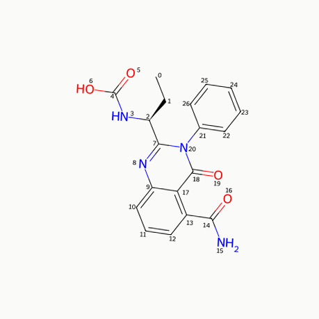 CC[C@H](NC(=O)O)c1nc2cccc(C(N)=O)c2c(=O)n1-c1ccccc1